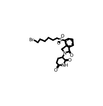 O=C1CCC(N2Cc3c(cccc3S(=O)(=O)CCCCCCBr)C2=O)C(=O)N1